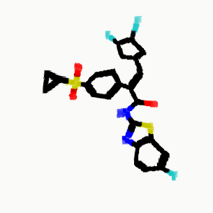 O=C(Nc1nc2ccc(F)cc2s1)/C(=C/[C@H]1C[C@@H](F)[C@@H](F)C1)c1ccc(S(=O)(=O)C2CC2)cc1